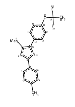 CNc1nc(-c2ccc(C)cc2)nn1-c1ccc(OC(F)(F)C(F)(F)F)cc1